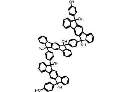 Oc1ccc(C2(O)c3ccccc3-c3cc4c(cc32)-c2ccccc2C4(O)c2ccc(C3(O)c4ccccc4-c4cc5c(cc43)-c3ccccc3C5(O)c3ccc(C4(O)c5ccccc5-c5cc6c(cc54)-c4ccccc4C6(O)c4ccc(O)cc4)cc3)cc2)cc1